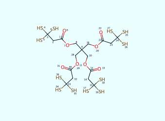 O=C(CC(S)(S)S)OCC(COC(=O)CC(S)(S)S)(COC(=O)CC(S)(S)S)COC(=O)CC(S)(S)S